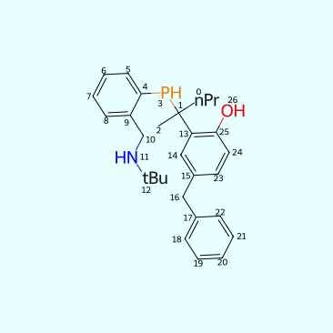 CCCC(C)(Pc1ccccc1CNC(C)(C)C)c1cc(Cc2ccccc2)ccc1O